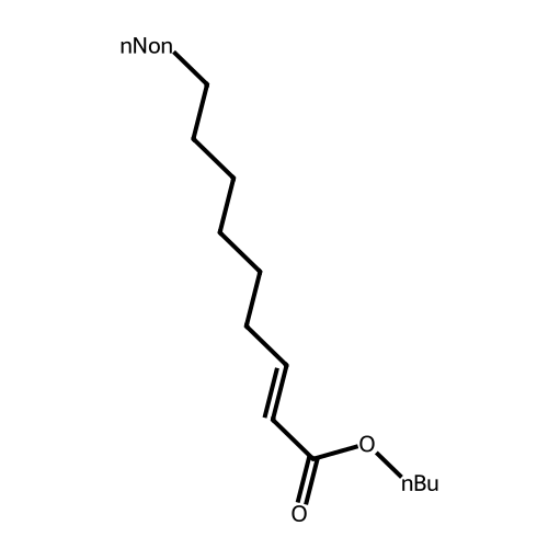 CCCCCCCCCCCCCCCC=CC(=O)OCCCC